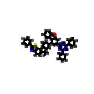 CC1(C)c2cc(-c3cc(-c4nc(-c5ccccc5)nc(-c5ccccc5)n4)cc4oc5ccccc5c34)ccc2-c2c1ccc1nc(-c3ccccc3)sc21